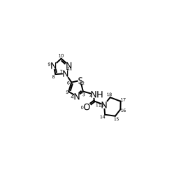 O=C(Nc1ncc(-n2cncn2)s1)N1CCCCC1